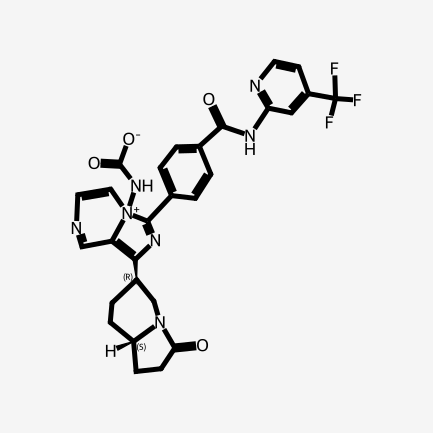 O=C([O-])N[N+]12C=CN=CC1=C([C@@H]1CC[C@H]3CCC(=O)N3C1)N=C2c1ccc(C(=O)Nc2cc(C(F)(F)F)ccn2)cc1